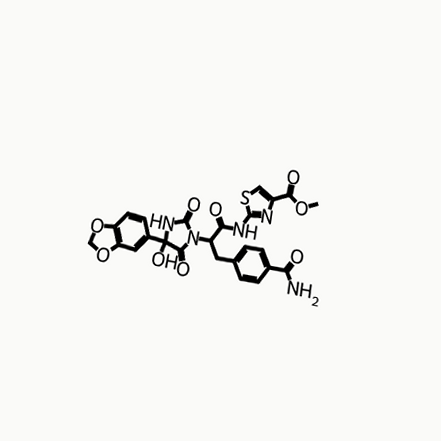 COC(=O)c1csc(NC(=O)C(Cc2ccc(C(N)=O)cc2)N2C(=O)NC(O)(c3ccc4c(c3)OCO4)C2=O)n1